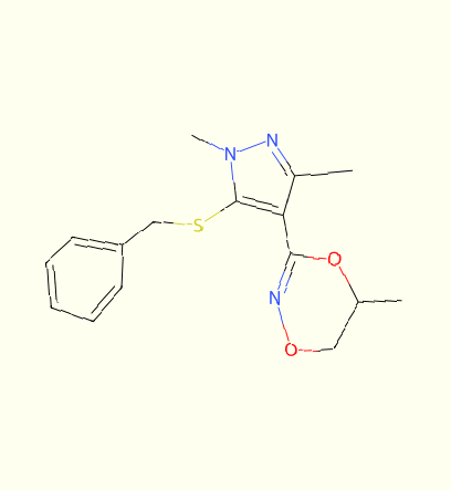 Cc1nn(C)c(SCc2ccccc2)c1C1=NOCC(C)O1